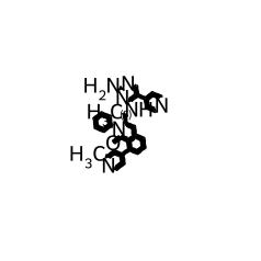 Cc1cc(-c2cccc3cc([C@H](C)Nc4nc(N)ncc4-c4ccncc4)n(-c4ccccc4)c(=O)c23)ccn1